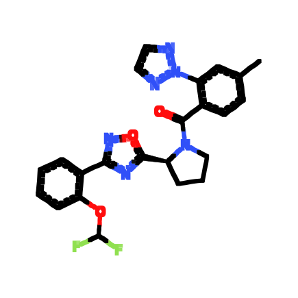 Cc1ccc(C(=O)N2CCC[C@H]2c2nc(-c3ccccc3OC(F)F)no2)c(-n2nccn2)c1